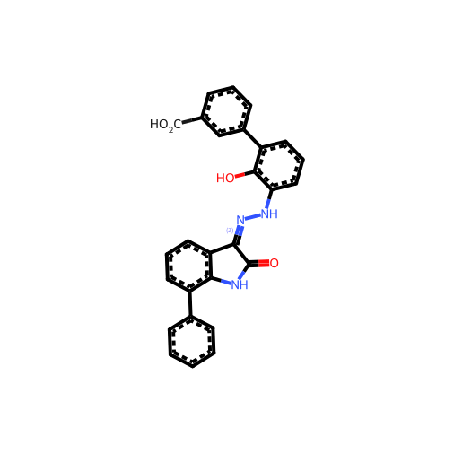 O=C1Nc2c(cccc2-c2ccccc2)/C1=N/Nc1cccc(-c2cccc(C(=O)O)c2)c1O